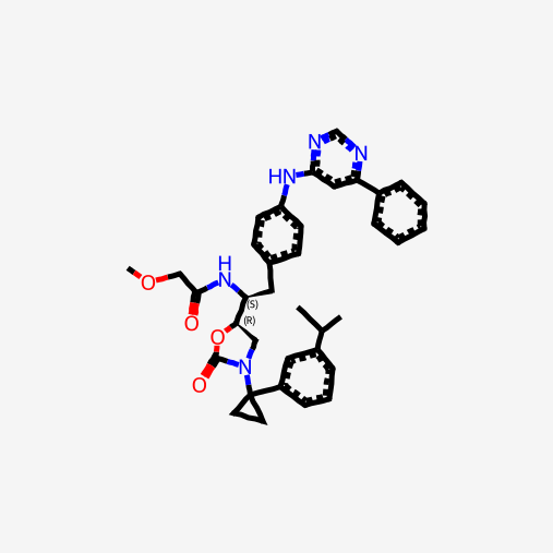 COCC(=O)N[C@@H](Cc1ccc(Nc2cc(-c3ccccc3)ncn2)cc1)[C@H]1CN(C2(c3cccc(C(C)C)c3)CC2)C(=O)O1